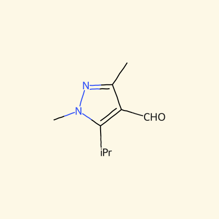 Cc1nn(C)c(C(C)C)c1C=O